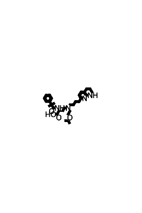 CC(C)OCCN(CCCCc1ccc2c(n1)NCCC2)CC[C@H](NC(=O)C(C)(C)c1ccccc1)C(=O)O